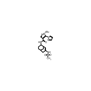 CC(C)(C)n1ncc(C(=O)NC2CCC3CC(NS(C)(=O)=O)=CC2C3)c1-n1cccn1